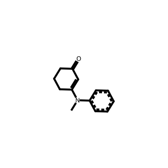 CN(C1=CC(=O)CCC1)c1ccccc1